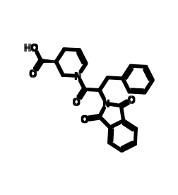 O=C(O)[C@H]1CC=CN(C(=O)C(Cc2ccccc2)N2C(=O)c3ccccc3C2=O)C1